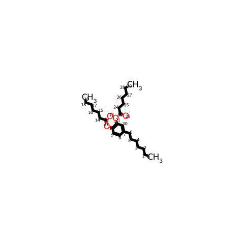 CCCCCCCc1ccc(OC(=O)CCCCCC)c(OC(=O)CCCCCC)c1